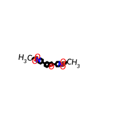 CCCS(=O)(=O)N1CC=C(c2ccc3c(c2)CC(C2CCN(S(=O)(=O)CCC)CC2)O3)CC1